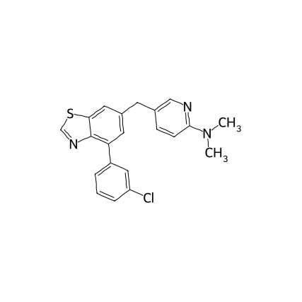 CN(C)c1ccc(Cc2cc(-c3cccc(Cl)c3)c3ncsc3c2)cn1